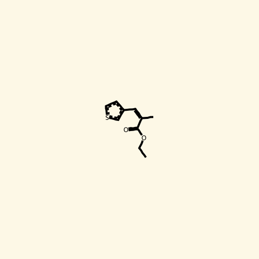 CCOC(=O)C(C)=Cc1ccsc1